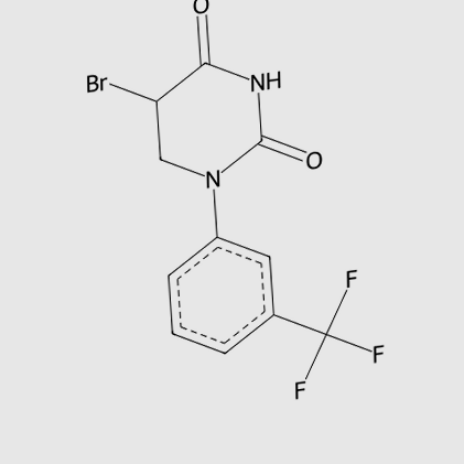 O=C1NC(=O)N(c2cccc(C(F)(F)F)c2)CC1Br